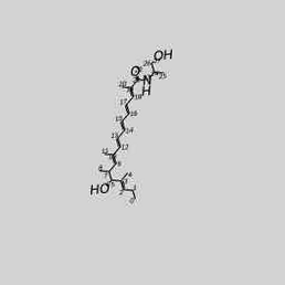 CC/C=C(\C)C(O)C(C)/C=C(C)/C=C/C=C/C=C/C=C(\C)C(=O)NC(C)CO